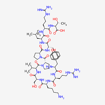 CC(C)C[C@H](NC(=O)[C@H](Cc1ccccc1)NC(=O)[C@@H]1CCCN1C(=O)[C@@H]1CCCN1C(=O)[C@@H](NC(=O)[C@H](CO)NC(=O)[C@H](CCCCN)NC(=O)[C@H](CCCNC(=N)N)NC(=O)[C@@H](N)Cc1ccc(O)cc1)C(C)C)C(=O)N[C@@H](CCCNC(=N)N)C(=O)N[C@H](C(=O)O)[C@@H](C)O